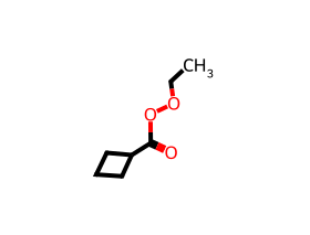 CCOOC(=O)C1CCC1